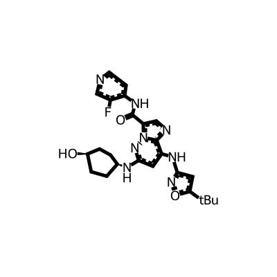 CC(C)(C)c1cc(Nc2cc(N[C@H]3CC[C@H](O)CC3)nn3c(C(=O)Nc4ccncc4F)cnc23)no1